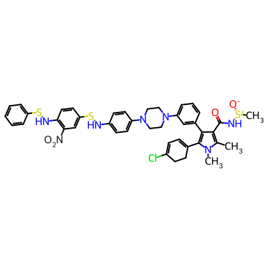 Cc1c(C(=O)N[S+](C)[O-])c(-c2cccc(N3CCN(c4ccc(NSc5ccc(NSc6ccccc6)c([N+](=O)[O-])c5)cc4)CC3)c2)c(C2=CC=C(Cl)CC2)n1C